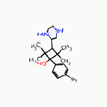 CC(C)c1ccc(C2(O)C(C)(C)C(C3CNCCN3)C2(C)C)cc1